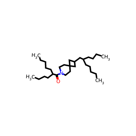 CCCCCC(CCCC)CC1CC2(CCN(C(=O)C(CCCC)CCCCC)CC2)C1